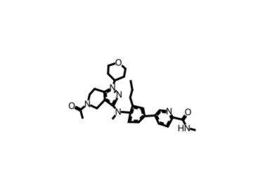 CCCc1cc(-c2ccc(C(=O)NC)nc2)ccc1N(C)c1nn(C2CCOCC2)c2c1CN(C(C)=O)CC2